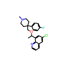 CC(OCC1(c2ccc(F)cc2)CCN(C)CC1)c1cc(Cl)cc2cccnc12